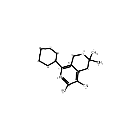 CC1(C)Cc2c(C#N)c(O)nc(C3CCCCC3)c2CO1